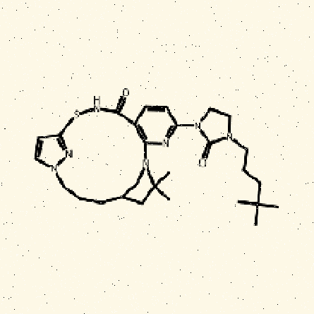 CC(C)(C)CCCN1CCN(c2ccc3c(n2)N2CC(CCCn4ccc(n4)SNC3=O)CC2(C)C)C1=O